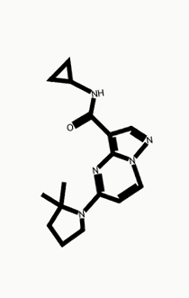 CC1(C)CCCN1c1ccn2ncc(C(=O)NC3CC3)c2n1